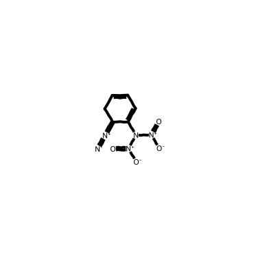 [N-]=[N+]=C1CC=CC=C1N([N+](=O)[O-])[N+](=O)[O-]